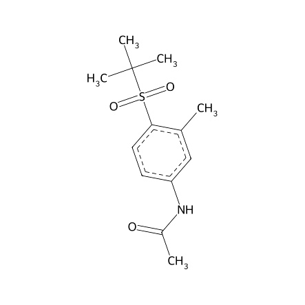 CC(=O)Nc1ccc(S(=O)(=O)C(C)(C)C)c(C)c1